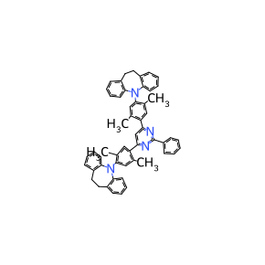 Cc1cc(N2c3ccccc3CCc3ccccc32)c(C)cc1-c1cc(-c2cc(C)c(N3c4ccccc4CCc4ccccc43)cc2C)nc(-c2ccccc2)n1